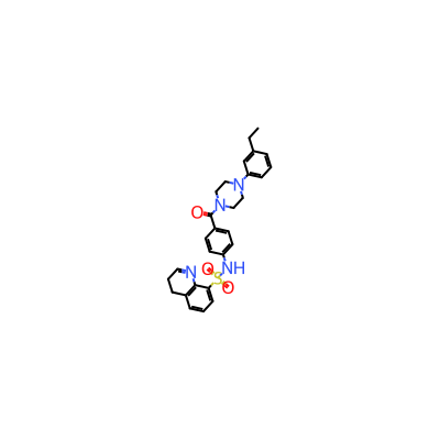 CCc1cccc(N2CCN(C(=O)c3ccc(NS(=O)(=O)c4cccc5c4N=CCC5)cc3)CC2)c1